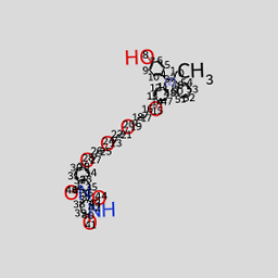 CC/C(=C(\c1ccc(O)cc1)c1ccc(OCCCCOCCCOCCCOc2ccc3c(c2)CN(C2CCC(=O)NC2=O)C3=O)cc1)c1ccccc1